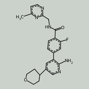 Cc1ccnc(CNC(=O)c2ccc(-c3cc(C4CCOCC4)cnc3N)cc2F)n1